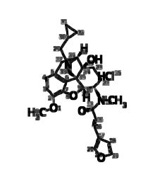 COc1ccc2c3c1O[C@H]1[C@H](N(C)C(=O)/C=C/c4ccoc4)CC[C@@]4(O)[C@@H](C2)N(CC2CC2)CC[C@]314.Cl